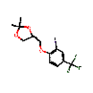 CC1(C)OCC(COc2ccc(C(F)(F)F)cc2I)O1